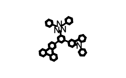 c1ccc(-c2nc(-c3ccccc3)nc(-c3cc(-c4ccc5c6ccccc6c6ccccc6c5c4)cc(-c4ccc5c(c4)c4ccccc4n5-c4ccccc4)c3)n2)cc1